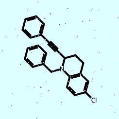 Clc1ccc2c(c1)CCC(C#Cc1ccccc1)N2Cc1ccccc1